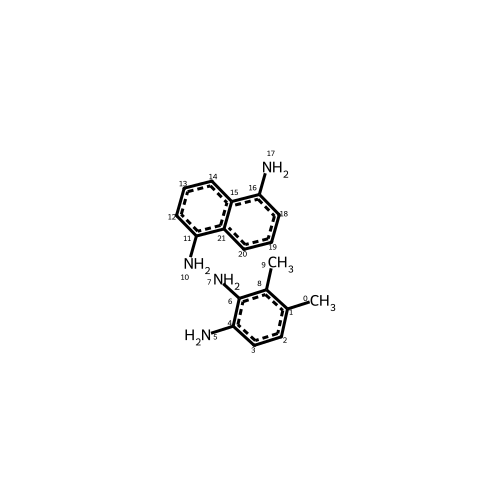 Cc1ccc(N)c(N)c1C.Nc1cccc2c(N)cccc12